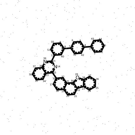 c1ccc(-c2ccc(-c3cccc(-c4nc(-c5ccc6ccc7c8ccccc8oc7c6c5)c5ccccc5n4)c3)cc2)cc1